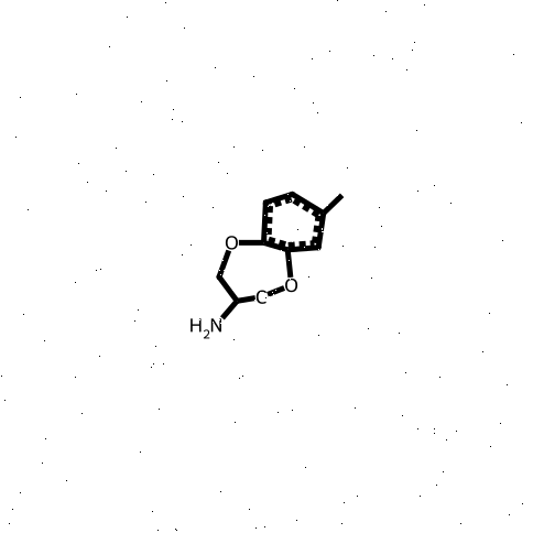 Cc1ccc2c(c1)OCC(N)CO2